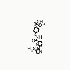 Cc1ccnn1-c1cccc(C(=O)NCc2ccc(S(C)(=O)=O)cc2)n1